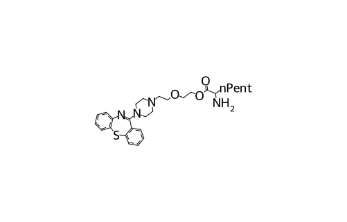 CCCCCC(N)C(=O)OCCOCCN1CCN(C2=Nc3ccccc3Sc3ccccc32)CC1